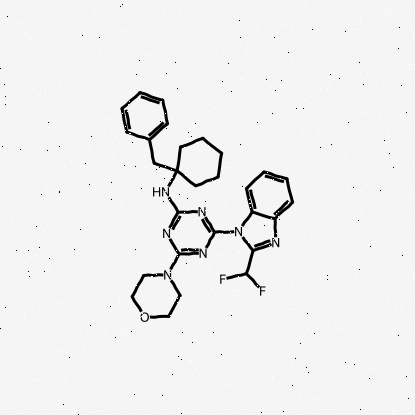 FC(F)c1nc2ccccc2n1-c1nc(NC2(Cc3ccccc3)CCCCC2)nc(N2CCOCC2)n1